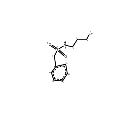 CC(C)CCCNS(=O)(=O)Cc1ccccc1